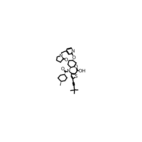 CC(C)(C)C#Cc1cc(N(C(=O)[C@H]2CC[C@H](C)CC2)[C@H]2CC[C@H](Oc3cc(CN4CCCC4=O)ccn3)CC2)c(C(=O)O)s1